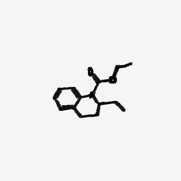 CCOC(=O)N1c2ccccc2CCC1CC